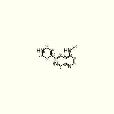 FNc1ccnc2cnc(C3=CCNCC3)cc12